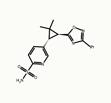 CC(C)c1noc([C@H]2[C@H](c3ccc(S(N)(=O)=O)nc3)C2(C)C)n1